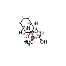 CCS(=O)(=O)N1[C@@H]2CCC[C@H]1C[C@H](N(C)C(=O)O)C2